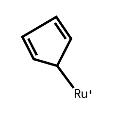 [Ru+][CH]1C=CC=C1